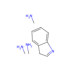 C1=Nc2ccccc2C1.CN.CN.CN